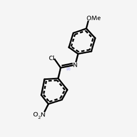 COc1ccc(/N=C(\Cl)c2ccc([N+](=O)[O-])cc2)cc1